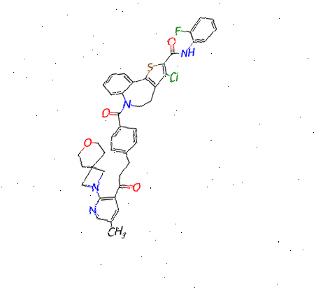 Cc1cnc(N2CC3(CCOCC3)C2)c(C(=O)CCc2ccc(C(=O)N3CCc4c(sc(C(=O)Nc5ccccc5F)c4Cl)-c4ccccc43)cc2)c1